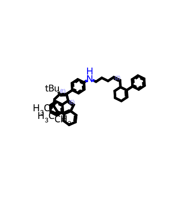 CC1C/C(C(C)(C)C)=C(c2ccc(NCCC/C=C\C3CCCC=C3c3ccccc3)cc2)\C(c2ccccc2)=C\C2=C(CCC=C2)C1(C)C